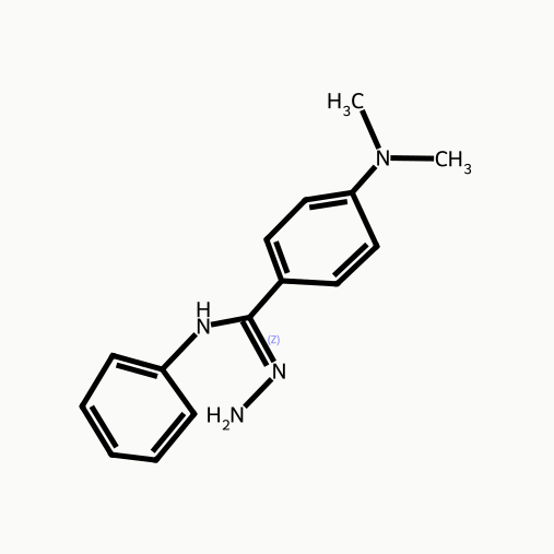 CN(C)c1ccc(/C(=N/N)Nc2ccccc2)cc1